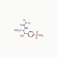 CCOC(=O)C(NC(=O)C(Cl)Cl)C(O)c1ccc(S(C)(=O)=O)cc1